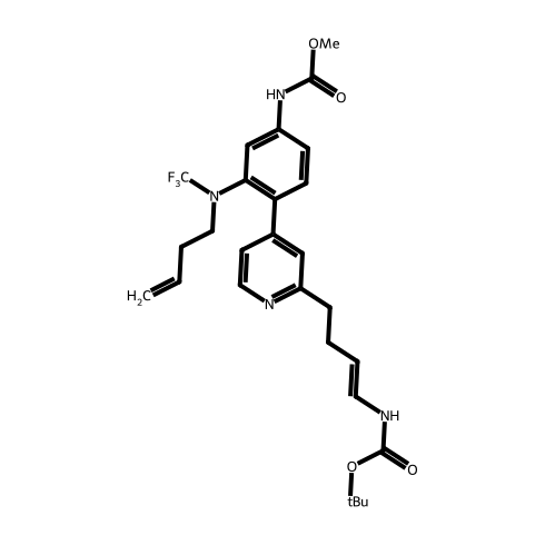 C=CCCN(c1cc(NC(=O)OC)ccc1-c1ccnc(CCC=CNC(=O)OC(C)(C)C)c1)C(F)(F)F